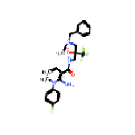 C=C/C(C(=O)NCC(O)(CN(CC)Cc1ccccc1)C(F)(F)F)=C(/N)N(C)c1ccc(F)cc1